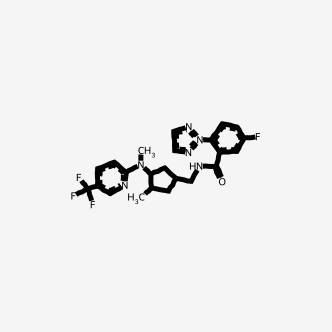 CC1CC(CNC(=O)c2cc(F)ccc2-n2nccn2)CC1N(C)c1ccc(C(F)(F)F)cn1